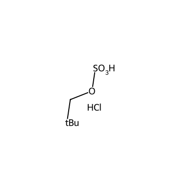 CC(C)(C)COS(=O)(=O)O.Cl